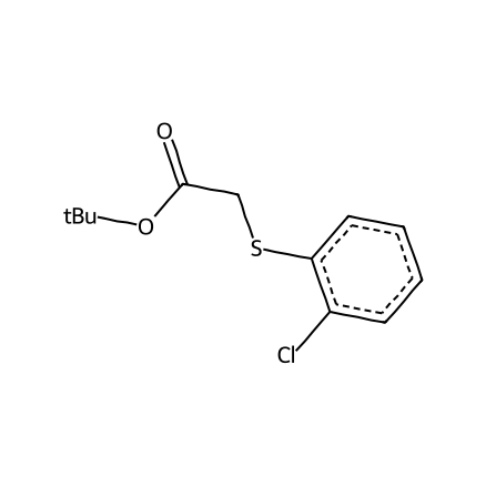 CC(C)(C)OC(=O)CSc1ccccc1Cl